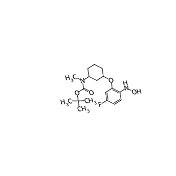 CN(C(=O)OC(C)(C)C)C1CCCC(Oc2cc(F)ccc2NO)C1